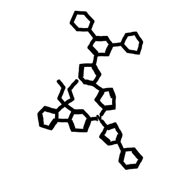 CCCC1(CCC)c2ccccc2-c2ccc(N(c3ccc(-c4ccccc4)cc3)c3cccc(-c4cccc(-c5cc(C6CCCCC6)cc(C6CCCCC6)c5)c4)c3)cc21